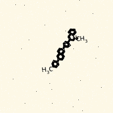 Cc1ccc(-c2ccc3cc(-c4ccc(C5=Cc6ccccc6N(C)C5)cc4)ccc3c2)cc1